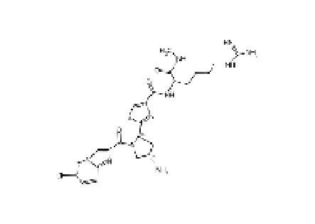 CNC(=O)C(CCCCNC(=N)N)NC(=O)c1csc([C@H]2C[C@H](N)CN2C(=O)c2cn3cc(Cl)ccc3n2)n1